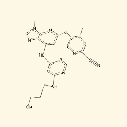 Cc1cc(C#N)ncc1Oc1cc(Nc2cc(NCCCO)ncn2)c2ncn(C)c2n1